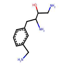 NCc1cccc(CC(N)C(O)CN)c1